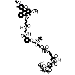 CC/N=c1/cc2oc3cc(NCC)c(C)cc3c(-c3ccccc3C(=O)N(C)CCCC(=O)NCCNC(=O)c3cccc(OCC(OCCOCC(=O)NCC#Cc4cn([C@H]5CC(O[C@H](C)SSC)[C@@H](CO[PH](=O)O)O5)c(=O)[nH]c4=O)SSC(C)(C)C)c3)c-2cc1C